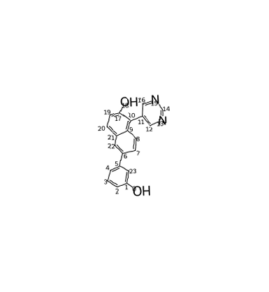 Oc1cccc(-c2ccc3c(-c4cncnc4)c(O)ccc3c2)c1